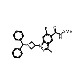 CSNC(=O)c1cc2c(C)nn(C3CN(C(c4ccccc4)c4ccccc4)C3)c2cc1F